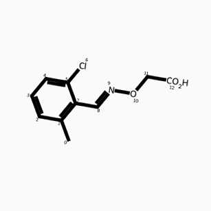 Cc1cccc(Cl)c1/C=N/OCC(=O)O